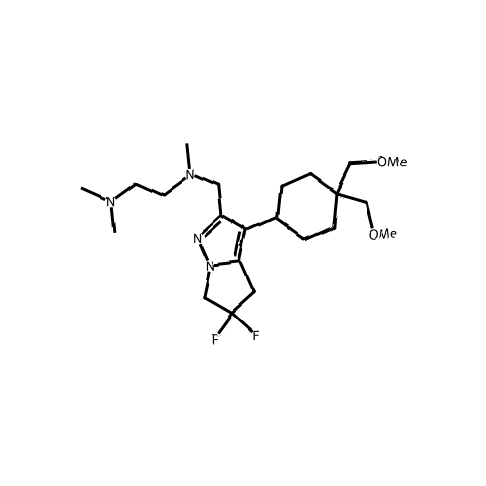 COCC1(COC)CCC(c2c(CN(C)CCN(C)C)nn3c2CC(F)(F)C3)CC1